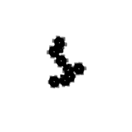 c1ccc(-c2ccc3ccc4c(-c5ccccc5)nc(-c5ccc(-c6cccc7c6oc6ccccc67)cc5)nc4c3n2)cc1